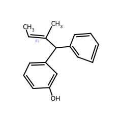 C/C=C(\C)C(c1ccccc1)c1cccc(O)c1